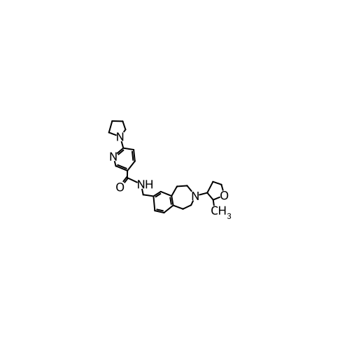 CC1OCCC1N1CCc2ccc(CNC(=O)c3ccc(N4CCCC4)nc3)cc2CC1